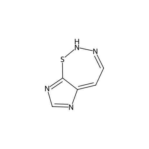 C1=NNSC2=NC=NC2=C1